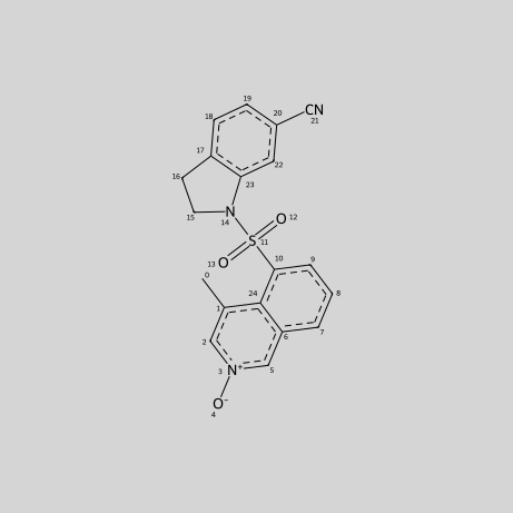 Cc1c[n+]([O-])cc2cccc(S(=O)(=O)N3CCc4ccc(C#N)cc43)c12